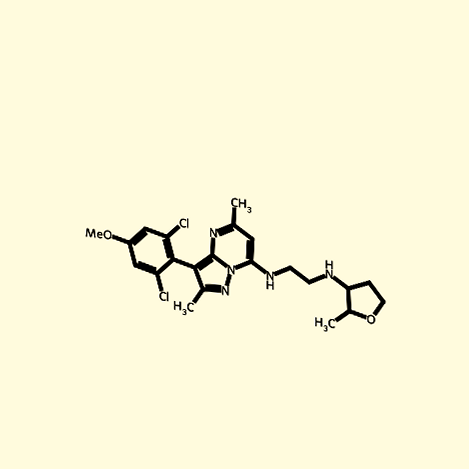 COc1cc(Cl)c(-c2c(C)nn3c(NCCNC4CCOC4C)cc(C)nc23)c(Cl)c1